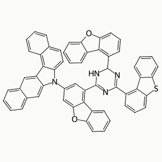 c1ccc2cc3c(cc2c1)c1c2ccccc2ccc1n3-c1cc(C2=NC(c3cccc4sc5ccccc5c34)=NC(c3cccc4oc5ccccc5c34)N2)c2c(c1)oc1ccccc12